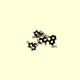 CCc1cccc2cc(O)cc(-c3nc4c5c(nc(OCC67CCCN6C[C@@H](F)C7)nc5c3F)N3C[C@@H]5CC[C@@H](N5)[C@@H]3CO4)c12